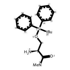 CNC(=O)[C@@H](N)CO[Si](c1ccccc1)(c1ccccc1)C(C)(C)C